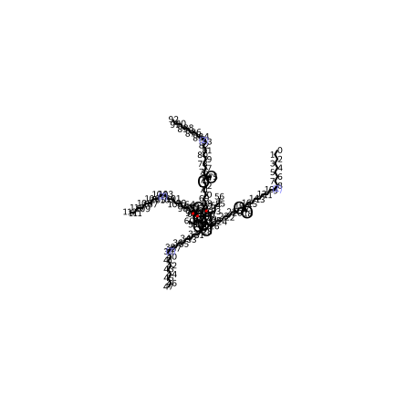 CCCCCCCC/C=C\CCCCCCCC(=O)OCCCCCCC[CH](OC(=O)CCCCCCC/C=C\CCCCCCCC)[Ti]([CH2]C(CC)CCCC)([CH2]C(CC)CCCC)[CH](CCCCCCCOC(=O)CCCCCCC/C=C\CCCCCCCC)OC(=O)CCCCCCC/C=C\CCCCCCCC